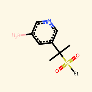 Bc1cncc(C(C)(C)S(=O)(=O)CC)c1